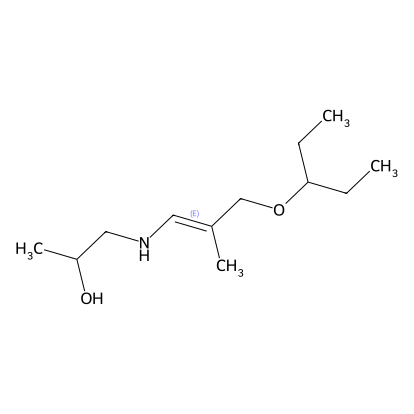 CCC(CC)OC/C(C)=C/NCC(C)O